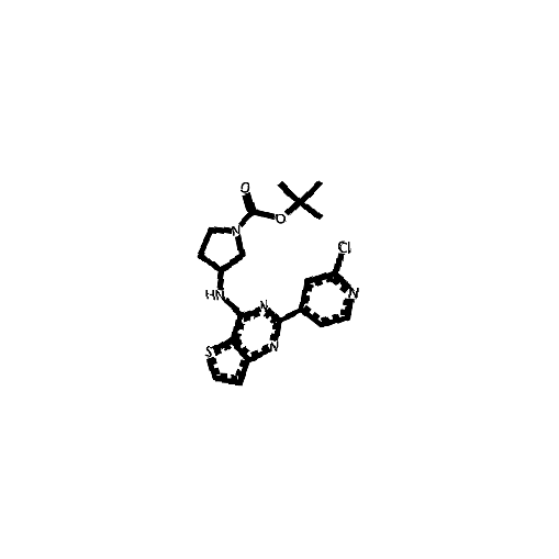 CC(C)(C)OC(=O)N1CCC(Nc2nc(-c3ccnc(Cl)c3)nc3ccsc23)C1